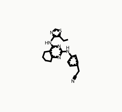 CCc1scnc1Nc1nc(Nc2ccc(CC#N)cc2)nc2c1CCCC2